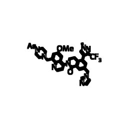 COc1cc(CN2CCN(C(C)=O)CC2)c2nccc(N3CCc4c(cc(Cn5ccnc5)cc4-c4cn(C)nc4C(F)(F)F)C3=O)c2c1